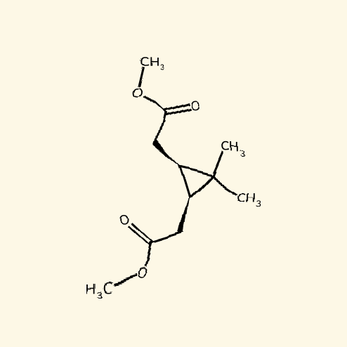 COC(=O)C[C@@H]1[C@H](CC(=O)OC)C1(C)C